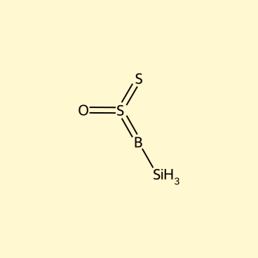 O=S(=S)=B[SiH3]